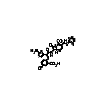 Cn1nnnc1SCC1=C(C(=O)O)N2C(=O)C(NC(=O)C(Sc3ccc(Cl)cc3C(=O)O)c3csc(N)n3)[C@H]2SC1